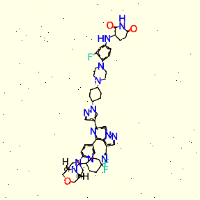 N#Cc1cnn2cc(-c3cnn([C@H]4CC[C@@H](N5CCN(c6ccc(NC7CCC(=O)NC7=O)cc6F)CC5)CC4)c3)nc(-c3ccc(N4C[C@H]5COC[C@@H](C4)N5CC4CCC(F)(F)CC4)nc3)c12